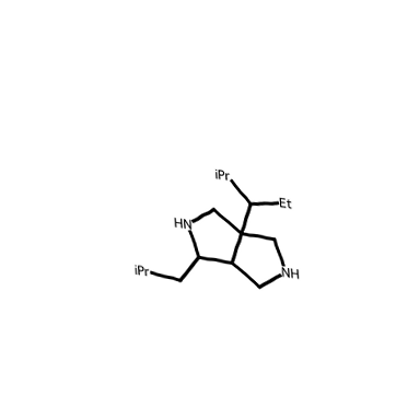 CCC(C(C)C)C12CNCC1C(CC(C)C)NC2